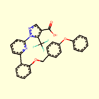 O=C(O)c1cnn(-c2cccc(-c3ccccc3OCc3ccc(Oc4ccccc4)cc3)n2)c1C(F)(F)F